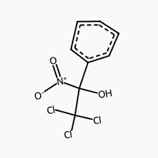 O=[N+]([O-])C(O)(c1ccccc1)C(Cl)(Cl)Cl